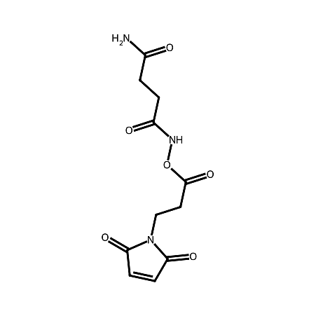 NC(=O)CCC(=O)NOC(=O)CCN1C(=O)C=CC1=O